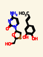 Nc1ccn([C@H]2CS[C@@H](CO)O2)c(=O)n1.O=C(O)C=Cc1ccc(O)c(O)c1